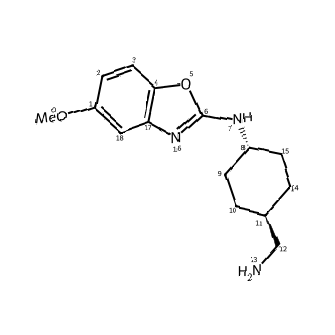 COc1ccc2oc(N[C@H]3CC[C@H](CN)CC3)nc2c1